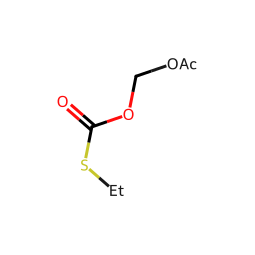 CCSC(=O)OCOC(C)=O